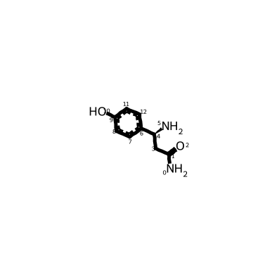 NC(=O)C[C@H](N)c1ccc(O)cc1